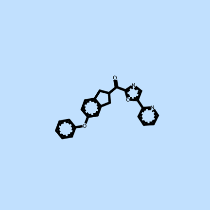 O=C(c1ncc(-c2ccccn2)o1)C1Cc2ccc(Oc3ccccc3)cc2C1